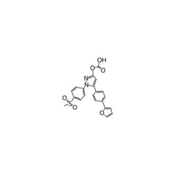 CS(=O)(=O)c1ccc(-n2nc(OC(=O)O)cc2-c2ccc(-c3ccco3)cc2)cc1